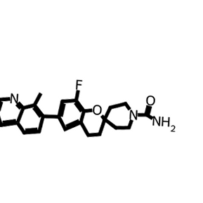 Cc1c(-c2cc(F)c3c(c2)CCC2(CCN(C(N)=O)CC2)O3)ccc2cccnc12